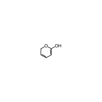 OC1=CC=CCO1